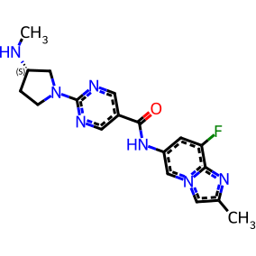 CN[C@H]1CCN(c2ncc(C(=O)Nc3cc(F)c4nc(C)cn4c3)cn2)C1